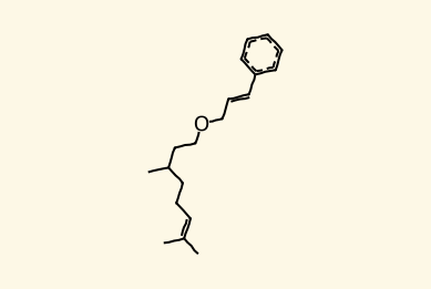 CC(C)=CCCC(C)CCOC/C=C/c1ccccc1